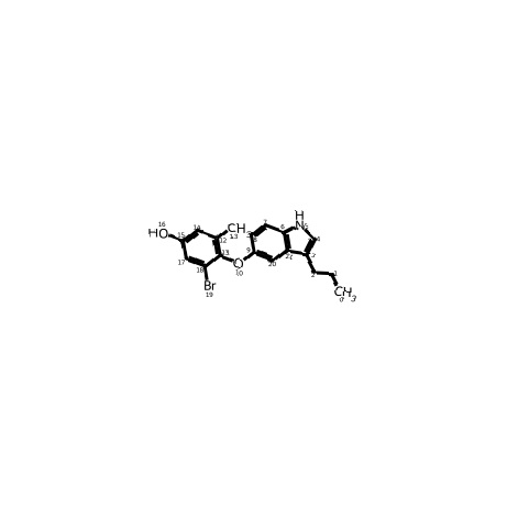 CCCc1c[nH]c2ccc(Oc3c(C)cc(O)cc3Br)cc12